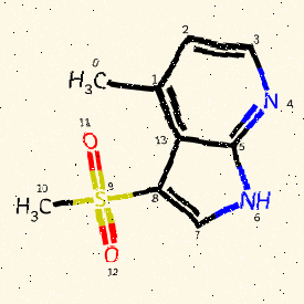 Cc1ccnc2[nH]cc(S(C)(=O)=O)c12